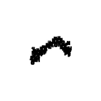 CCN(C)S(=O)(=O)Nc1ccc(F)c(Oc2ccc3ncn(C4CC5(CC(N6CC[C@H](c7cc8c(cc7F)c(N7CCC(=O)NC7=O)nn8C)C(F)(F)C6)C5)C4)c(=O)c3c2)c1C#N